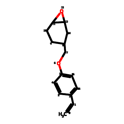 C=Cc1ccc(OCC2CCC3OC3C2)cc1